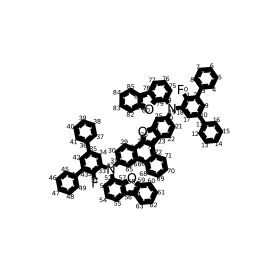 Fc1c(-c2ccccc2)cc(-c2ccccc2)cc1N(c1ccc2c(c1)oc1c3ccc(N(c4cc(-c5ccccc5)cc(-c5ccccc5)c4F)c4cccc5c4oc4ccccc45)cc3c3ccccc3c21)c1cccc2c1oc1ccccc12